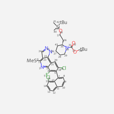 CSc1nc2c(F)c(-c3cccc4cccc(Cl)c34)c(Cl)cc2c2c1cnn2[C@H]1CCN(C(=O)OC(C)(C)C)[C@H](CCO[Si](C)(C)C(C)(C)C)C1